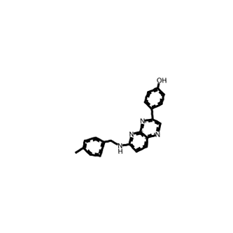 Cc1ccc(CNc2ccc3ncc(-c4ccc(O)cc4)nc3n2)cc1